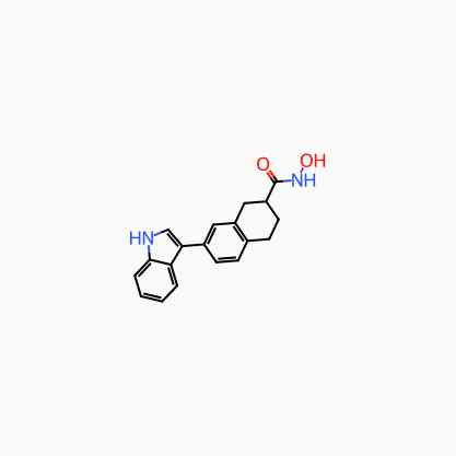 O=C(NO)C1CCc2ccc(-c3c[nH]c4ccccc34)cc2C1